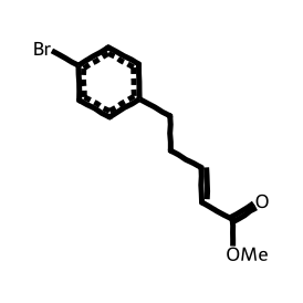 COC(=O)C=CCCc1ccc(Br)cc1